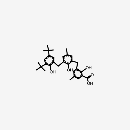 Cc1cc(Cc2cc(C)cc(C(=O)O)c2O)c(O)c(Cc2cc(C(C)(C)C)cc(C(C)(C)C)c2O)c1